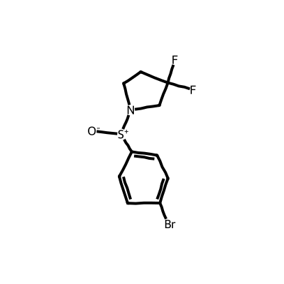 [O-][S+](c1ccc(Br)cc1)N1CCC(F)(F)C1